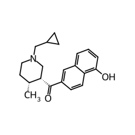 C[C@@H]1CCN(CC2CC2)C[C@@H]1C(=O)c1ccc2c(O)cccc2c1